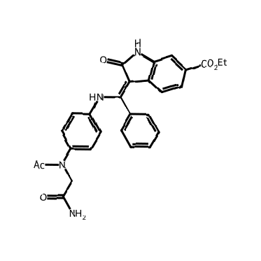 CCOC(=O)c1ccc2c(c1)NC(=O)/C2=C(\Nc1ccc(N(CC(N)=O)C(C)=O)cc1)c1ccccc1